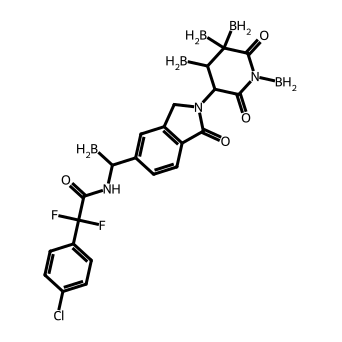 BC(NC(=O)C(F)(F)c1ccc(Cl)cc1)c1ccc2c(c1)CN(C1C(=O)N(B)C(=O)C(B)(B)C1B)C2=O